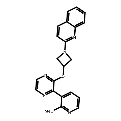 COc1ncccc1-c1nccnc1OC1CN(c2ccc3ccccc3n2)C1